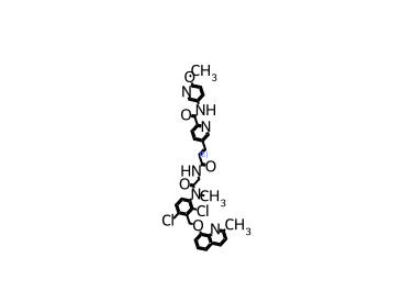 COc1ccc(NC(=O)c2ccc(/C=C/C(=O)NCC(=O)N(C)c3ccc(Cl)c(COc4cccc5ccc(C)nc45)c3Cl)cn2)cn1